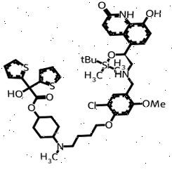 COc1cc(OCCCCN(C)C2CCC(OC(=O)C(O)(c3cccs3)c3cccs3)CC2)c(Cl)cc1CNC[C@@H](O[Si](C)(C)C(C)(C)C)c1ccc(O)c2[nH]c(=O)ccc12